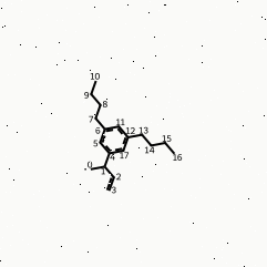 [CH2]C(C=C)c1cc(CCCC)cc(CCCC)c1